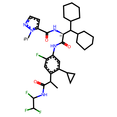 CC(C(=O)NC(F)C(F)F)c1cc(F)c(NC(=O)[C@@H](NC(=O)c2ccnn2C(C)C)C(C2CCCCC2)C2CCCCC2)cc1C1CC1